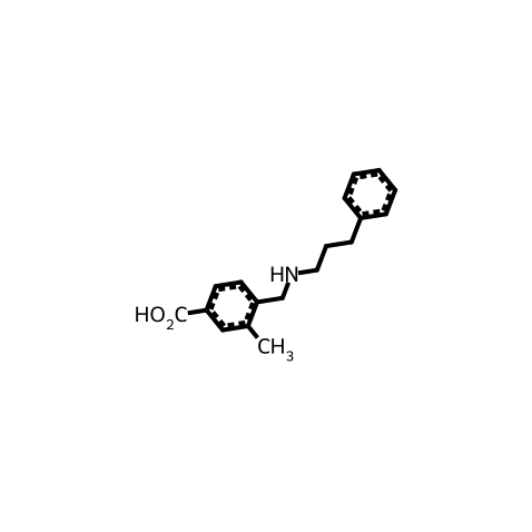 Cc1cc(C(=O)O)ccc1CNCCCc1ccccc1